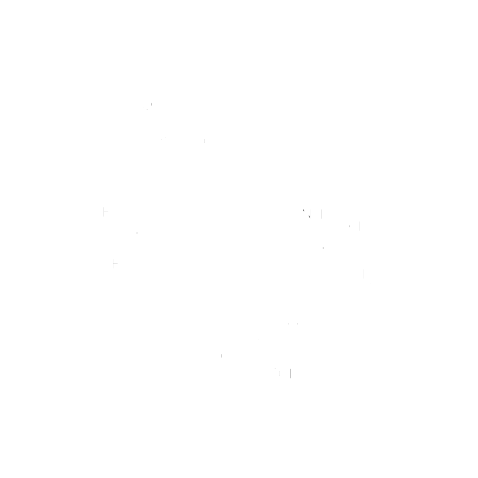 CC1(C)C=C(CS(=O)(=O)O)c2cc3c(C(F)(F)F)cc(=O)oc3cc2N1